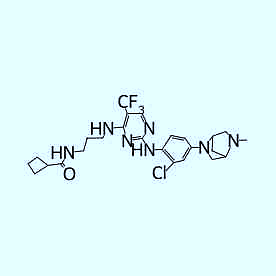 CN1CC2CC1CN2c1ccc(Nc2ncc(C(F)(F)F)c(NCCCNC(=O)C3CCC3)n2)c(Cl)c1